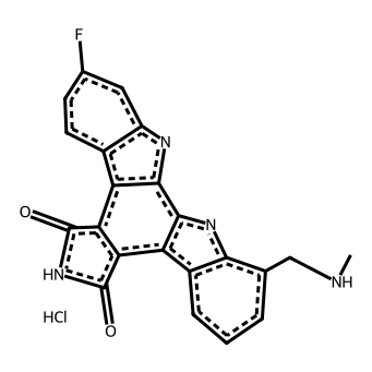 CNCc1cccc2c1nc1c3nc4cc(F)ccc4c3c3c(=O)[nH]c(=O)c3c21.Cl